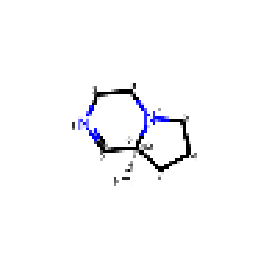 C1=NCCN2CCC[C@@H]12